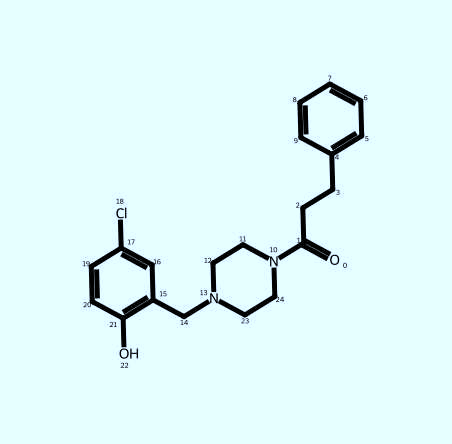 O=C(CCc1ccccc1)N1CCN(Cc2cc(Cl)ccc2O)CC1